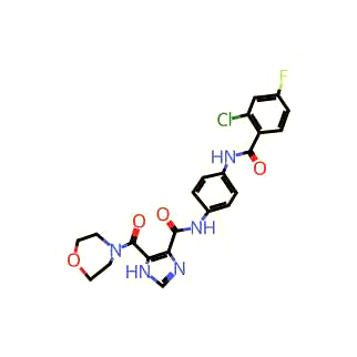 O=C(Nc1ccc(NC(=O)c2nc[nH]c2C(=O)N2CCOCC2)cc1)c1ccc(F)cc1Cl